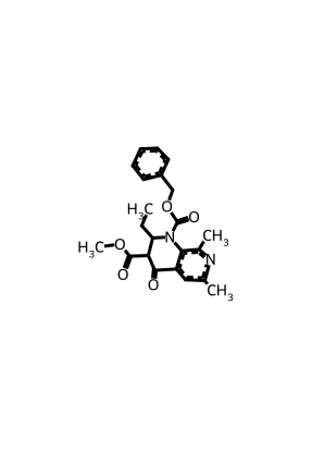 CCC1C(C(=O)OC)C(=O)c2cc(C)nc(C)c2N1C(=O)OCc1ccccc1